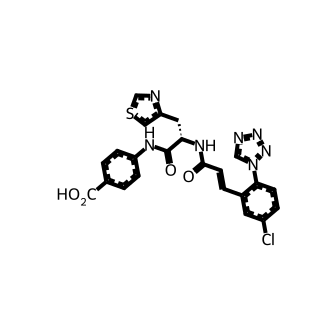 O=C(/C=C/c1cc(Cl)ccc1-n1cnnn1)N[C@@H](Cc1cscn1)C(=O)Nc1ccc(C(=O)O)cc1